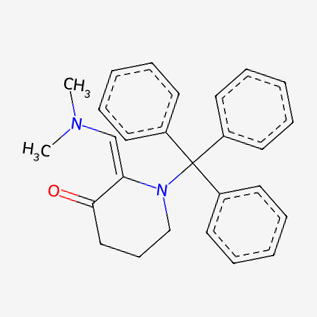 CN(C)C=C1C(=O)CCCN1C(c1ccccc1)(c1ccccc1)c1ccccc1